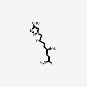 N/C(=C\C=C(/N)I)CC[C@@H](F)Cn1cc(C=O)nn1